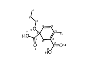 CCCOC1(C(=O)O)C=CC(C)=C(C(=O)O)C1